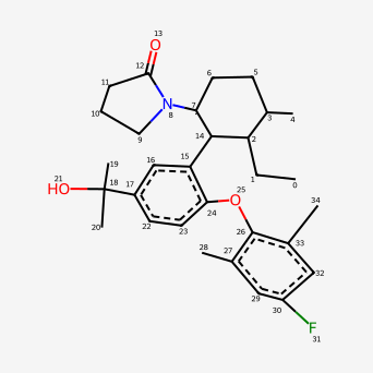 CCC1C(C)CC[C](N2CCCC2=O)C1c1cc(C(C)(C)O)ccc1Oc1c(C)cc(F)cc1C